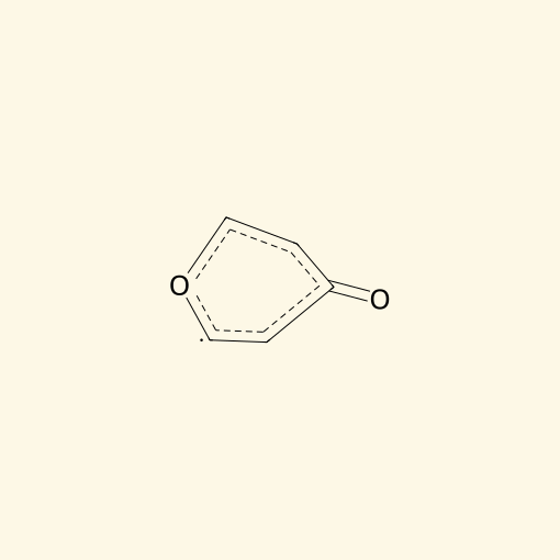 O=c1c[c]occ1